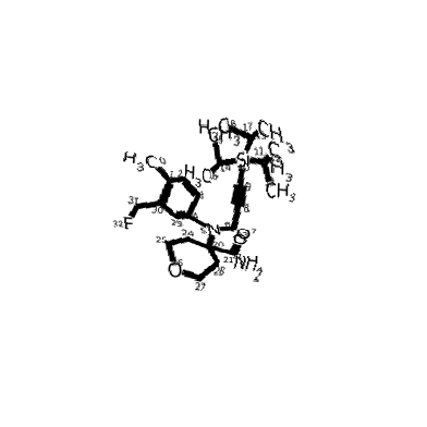 Cc1ccc(N(C(=O)C#C[Si](C(C)C)(C(C)C)C(C)C)C2(C(N)=O)CCOCC2)cc1CF